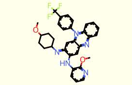 COc1ncccc1Nc1cc2nc3ccccc3n(-c3ccc(C(F)(F)F)cc3)c-2c/c1=N\C1CCC(OC)CC1